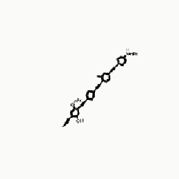 CC#Cc1cc(OCCC)c(C#Cc2ccc(C#Cc3ccc(C#Cc4ccc(NCCC)cc4)cc3C)cc2)cc1O